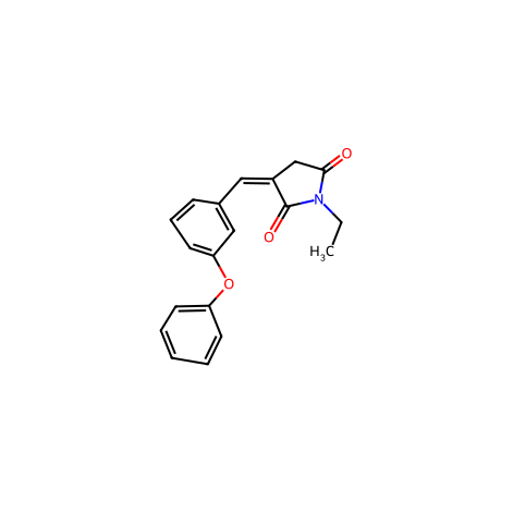 CCN1C(=O)CC(=Cc2cccc(Oc3ccccc3)c2)C1=O